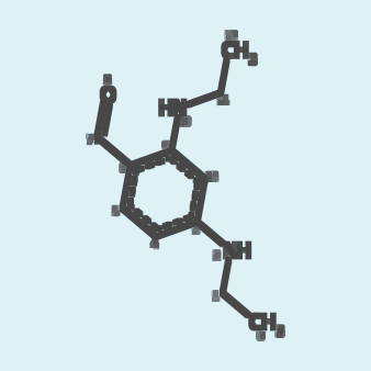 CCNc1ccc([C]=O)c(NCC)c1